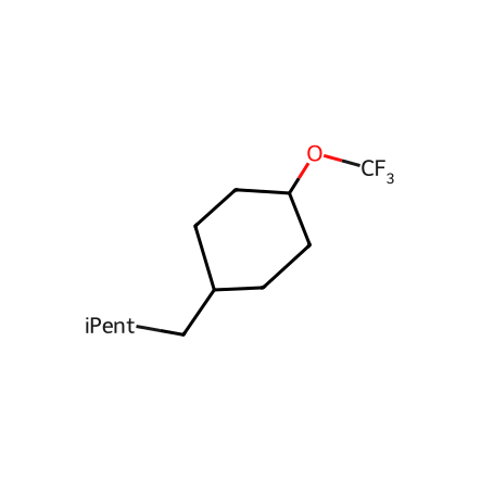 CCCC(C)CC1CCC(OC(F)(F)F)CC1